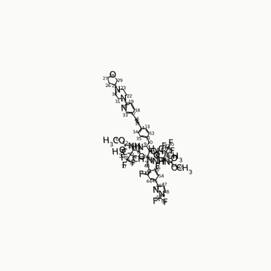 COC(=O)NC(C(=O)N[C@@H](Cc1ccc(C#Cc2ccc(N3CCN([C@@H]4CCOC4)CC3)nc2)cc1)[C@@H](O)CN(Cc1c(F)cc(-c2ccn(C(F)F)n2)cc1F)NC(=O)[C@@H](NC(=O)OC)C(C)(C)C(F)(F)F)C(C)(C)C(F)(F)F